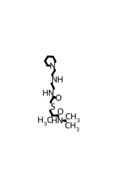 CC(C)NC(=O)C(C)CSCC(=O)NCCNCCN1CCCCC1